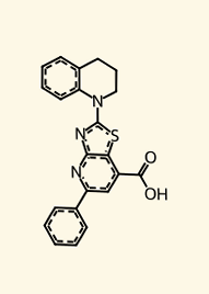 O=C(O)c1cc(-c2ccccc2)nc2nc(N3CCCc4ccccc43)sc12